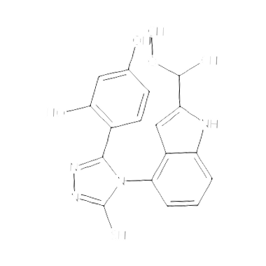 COC(C)c1cc2c(-n3c(S)nnc3-c3ccc(O)cc3O)cccc2[nH]1